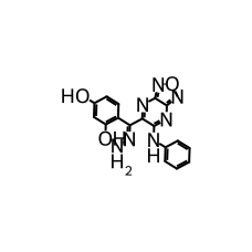 N/N=C(\c1ccc(O)cc1O)c1nc2nonc2nc1Nc1ccccc1